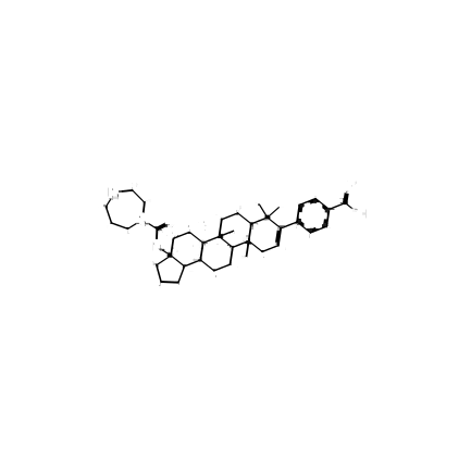 CC1(C)C(c2ccc(C(=O)O)cc2)=CCC2(C)C1CCC1(C)C2CCC2C3CCCC3(NC(=O)N3CCCNCC3)CC[C@]21C